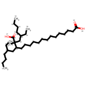 CCCCC(CC)CC(CCCCCCCCCCCCCC(=O)O)C(C)(CC(CC)CCCC)C(=O)O